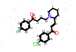 O=C(C=CC1CCCCN1CCCC(=O)c1ccc(F)cc1)c1ccc(Cl)cc1